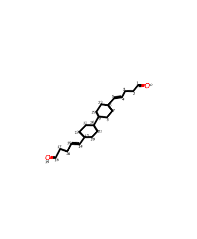 O=CCCC=CC1CCC(C2CCC(C=CCCC=O)CC2)CC1